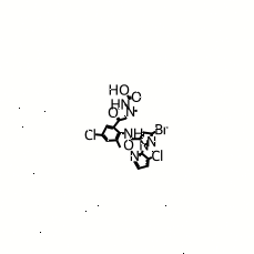 Cc1cc(Cl)cc(C(=O)CN(C)NC(=O)O)c1NC(=O)c1cc(Br)nn1-c1ncccc1Cl